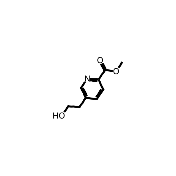 COC(=O)c1ccc(CCO)cn1